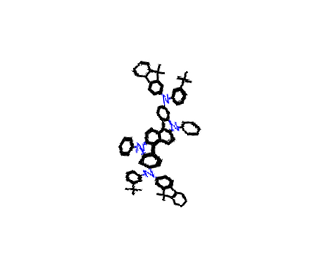 CC(C)(C)c1cccc(N(c2ccc3c(c2)C(C)(C)C2=C3C=CCC2)c2ccc3c4c5ccc6c(c5ccc4n(-c4ccccc4)c3c2)c2ccc(N(c3cccc(C(C)(C)C)c3)c3ccc4c(c3)C(C)(C)C3C=CC=CC43)cc2n6C2C=CC=CC2)c1